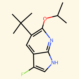 CC(C)Oc1nc2[nH]cc(F)c2cc1C(C)(C)C